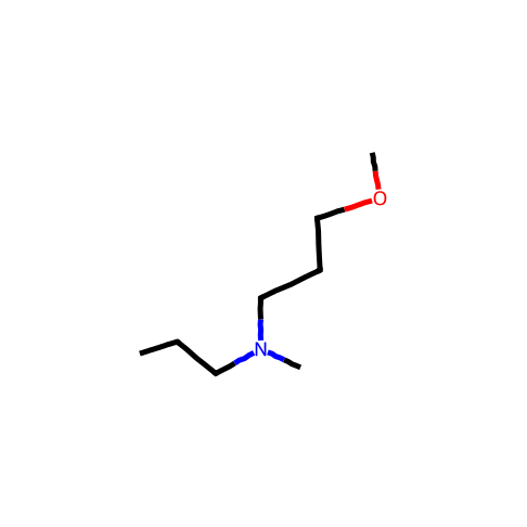 CCCN(C)CCCOC